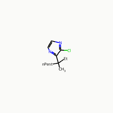 CCCCCC(C)(CC)c1nccnc1Cl